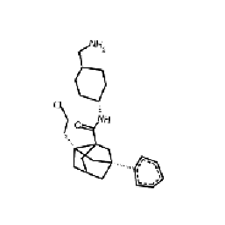 NC[C@H]1CC[C@H](NC(=O)C23CC4C[C@](c5ccccc5)(C2)C[C@@]3(CCCl)C4)CC1